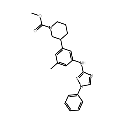 COC(=O)N1CCCC(c2cc(C)cc(Nc3ncn(-c4ccccc4)n3)c2)C1